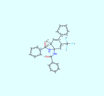 O=C(NC1(NC(=O)c2ccccc2)C=C(C(F)(F)F)C(c2ccccc2)=CC1(Br)Br)c1ccccc1